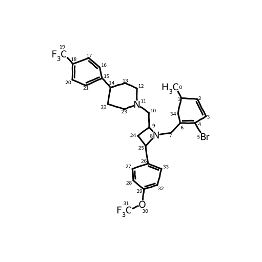 CC1C=CC(Br)=C(CN2C(CN3CCC(c4ccc(C(F)(F)F)cc4)CC3)CC2c2ccc(OC(F)(F)F)cc2)C1